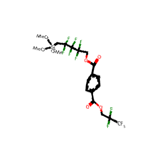 CO[Si](CC(F)(F)C(F)(F)C(F)(F)COC(=O)c1ccc(C(=O)OCC(F)(F)C(F)(F)F)cc1)(OC)OC